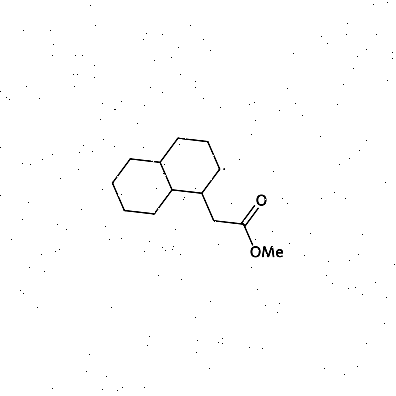 COC(=O)CC1[CH]CCC2CCCCC12